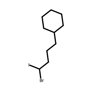 BrC(I)CCCC1CCCCC1